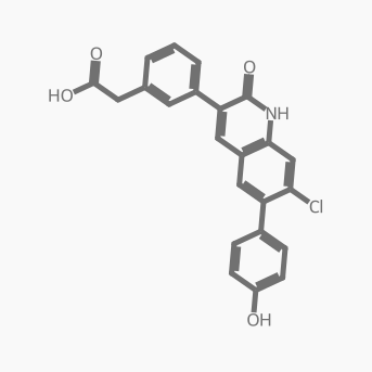 O=C(O)Cc1cccc(-c2cc3cc(-c4ccc(O)cc4)c(Cl)cc3[nH]c2=O)c1